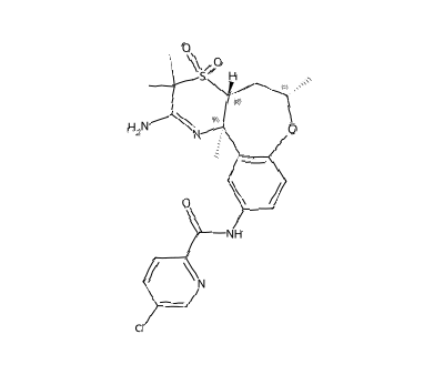 C[C@H]1C[C@@H]2[C@](C)(N=C(N)C(C)(C)S2(=O)=O)c2cc(NC(=O)c3ccc(Cl)cn3)ccc2O1